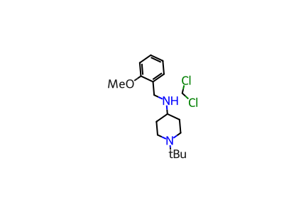 COc1ccccc1CNC1CCN(C(C)(C)C)CC1.ClCCl